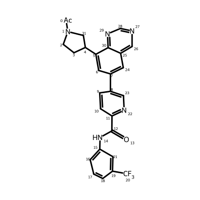 CC(=O)N1CCC(c2cc(-c3ccc(C(=O)Nc4cccc(C(F)(F)F)c4)nc3)cc3cncnc23)C1